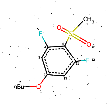 CCCCOc1cc(F)c(S(C)(=O)=O)c(F)c1